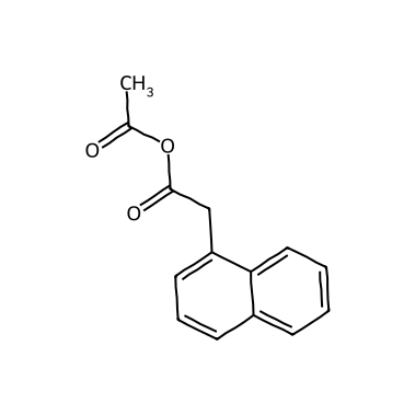 CC(=O)OC(=O)Cc1cccc2ccccc12